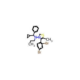 CCCN(C(c1ccccc1)C1CC1)N1CSC(C)=C1c1ccc(Br)cc1Br